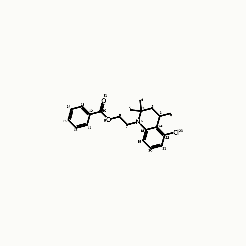 CC1CC(C)(C)N(CCOC(=O)c2ccccc2)c2cccc(Cl)c21